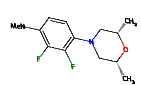 CNc1ccc(N2C[C@@H](C)O[C@@H](C)C2)c(F)c1F